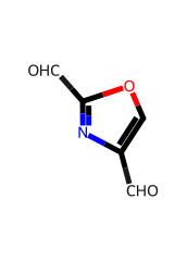 O=Cc1coc(C=O)n1